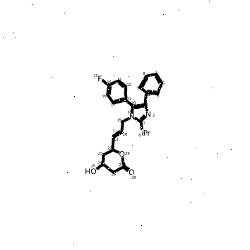 CC(C)c1nc(-c2ccccc2)c(-c2ccc(F)cc2)n1C/C=C/C1CC(O)CC(=O)O1